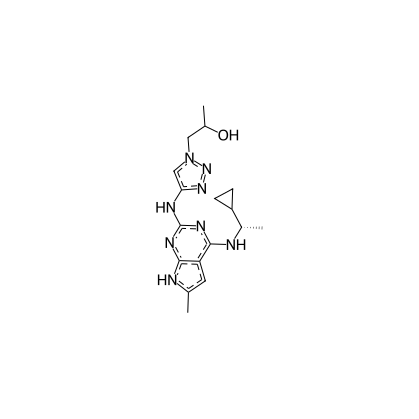 Cc1cc2c(N[C@@H](C)C3CC3)nc(Nc3cn(CC(C)O)nn3)nc2[nH]1